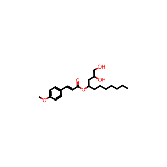 CCCCCCCC(CC(O)CO)OC(=O)C=Cc1ccc(OC)cc1